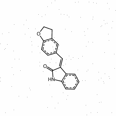 O=C1Nc2ccccc2C1=Cc1ccc2c(c1)CCO2